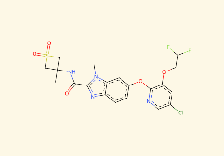 Cn1c(C(=O)NC2(C)CS(=O)(=O)C2)nc2ccc(Oc3ncc(Cl)cc3OCC(F)F)cc21